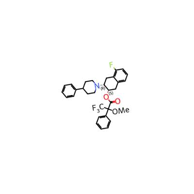 COC(C(=O)O[C@H]1Cc2cccc(F)c2C[C@H]1N1CCC(c2ccccc2)CC1)(c1ccccc1)C(F)(F)F